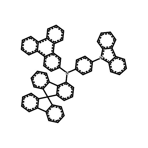 c1ccc2c(c1)-c1ccccc1C21c2ccccc2-c2c(N(c3ccc(-n4c5ccccc5c5ccccc54)cc3)c3ccc4c5ccccc5c5ccccc5c4c3)cccc21